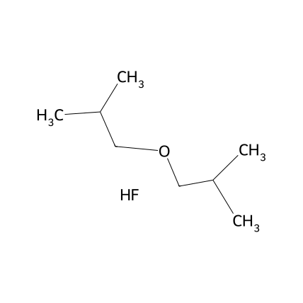 CC(C)COCC(C)C.F